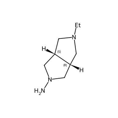 CCN1C[C@H]2CN(N)C[C@H]2C1